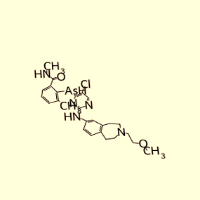 CNC(=O)c1cccc(C)c1[AsH]c1nc(Nc2ccc3c(c2)CCN(CCOC)CC3)ncc1Cl